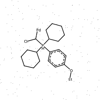 CCOc1ccc([PH]([CH](Cl)[Pd])(C2CCCCC2)C2CCCCC2)cc1